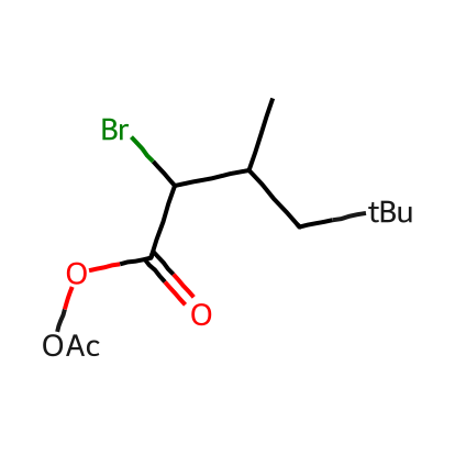 CC(=O)OOC(=O)C(Br)C(C)CC(C)(C)C